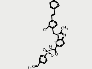 C=Cc1ccc(S(=O)(=O)NC(=O)c2ccc3nc(C)n(Cc4ccc(C=Cc5ccccc5)cc4Cl)c3n2)cc1